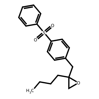 CCCCC1(Cc2ccc(S(=O)(=O)c3ccccc3)cc2)CO1